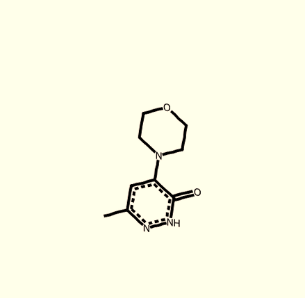 Cc1cc(N2CCOCC2)c(=O)[nH]n1